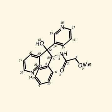 COCC(=O)N[C@H](c1ccccc1)C(O)(c1cccnc1)c1cccnc1